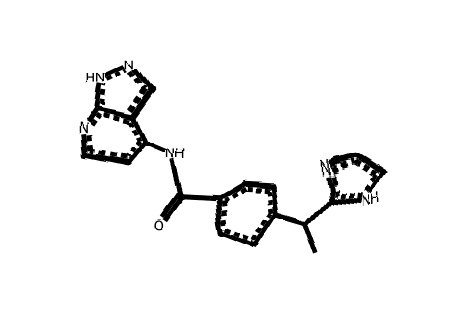 CC(c1ccc(C(=O)Nc2ccnc3[nH]ncc23)cc1)c1ncc[nH]1